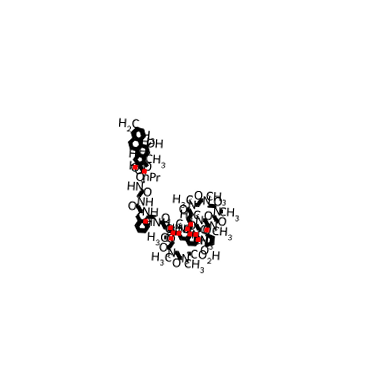 C=C1C=C[C@@]2(C)C(=C1)CC[C@@H]1[C@@H]2[C@@H](O)C[C@@]2(C)[C@H]1C[C@H]1O[C@@H](CCC)O[C@]12C(=O)COCNC(=O)CNC(=O)[C@H](Cc1ccccc1)NC(=O)CNC(=O)CNC(=O)CCc1ccc(N2C(=O)C=CC2=O)cc1OCCCC(=O)N(C)CC(=O)N(C)CC(=O)N(C)CC(=O)N(C)CC(=O)N(C)CC(=O)N(C)CC(=O)N(C)CC(=O)N(C)CC(=O)N(C)CC(=O)N(C)CC(=O)O